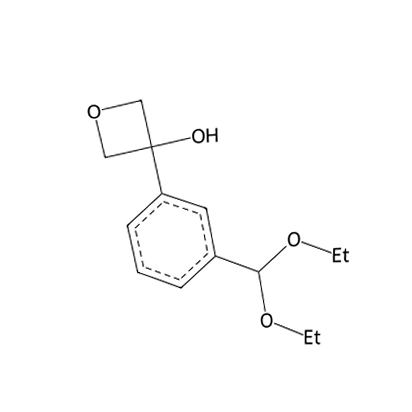 CCOC(OCC)c1cccc(C2(O)COC2)c1